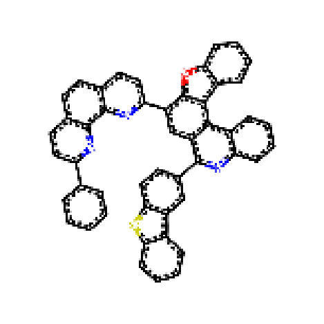 c1ccc(-c2ccc3ccc4ccc(-c5cc6c(-c7ccc8sc9ccccc9c8c7)nc7ccccc7c6c6c5oc5ccccc56)nc4c3n2)cc1